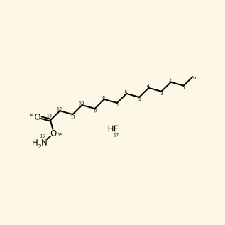 CCCCCCCCCCCCCC(=O)ON.F